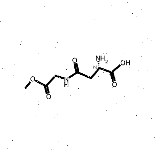 COC(=O)CNC(=O)C[C@H](N)C(=O)O